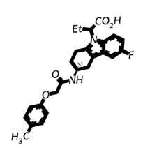 CCC(C(=O)O)n1c2c(c3cc(F)ccc31)C[C@@H](NC(=O)COc1ccc(C)cc1)CC2